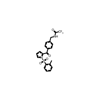 Cc1ccccc1S(=O)(=O)n1cccc1C(=O)c1ccc(CNC(=O)C(F)(F)F)cc1